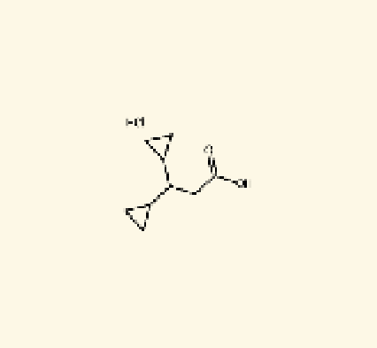 Cl.O=C(O)CC(C1CC1)C1CC1